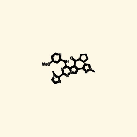 COc1ccnc(Nc2nc(-c3nccn3C)nn3cc(-c4ccn(C)n4)c(C(=O)N4CCCC4)c23)c1